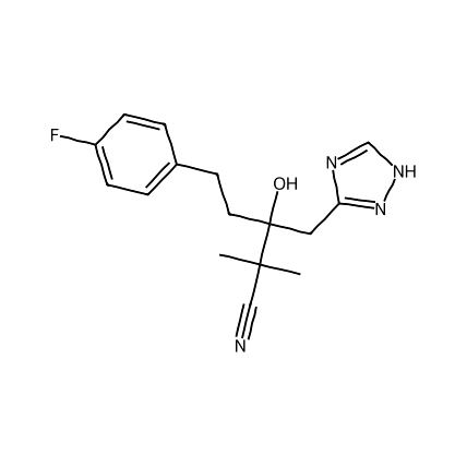 CC(C)(C#N)C(O)(CCc1ccc(F)cc1)Cc1nc[nH]n1